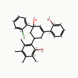 Cc1c(C)c(C)c(C2CC(c3ccccc3Br)=CC(O)(c3ccccc3Cl)C2)c(Br)c1C